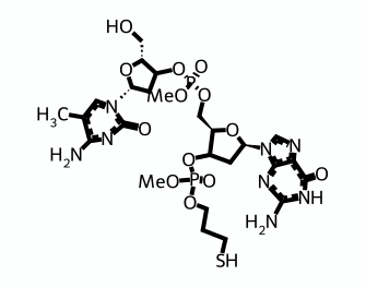 COP(=O)(OC[C@H]1O[C@@H](n2cnc3c(=O)[nH]c(N)nc32)CC1OP(=O)(OC)OCCCS)OC1C[C@H](n2cc(C)c(N)nc2=O)O[C@@H]1CO